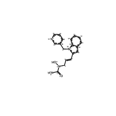 NC(=O)N(O)CC=Cc1cc2ccccc2n1Cc1cccnc1